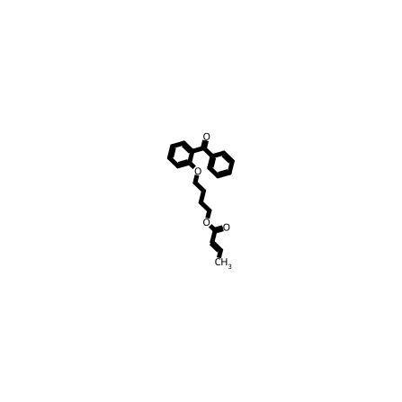 CC=CC(=O)OCCCCOc1ccccc1C(=O)c1ccccc1